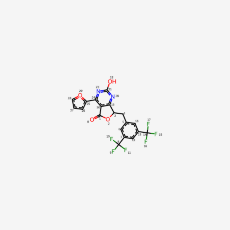 O=C1OC(Cc2cc(C(F)(F)F)cc(C(F)(F)F)c2)c2nc(O)nc(-c3ccco3)c21